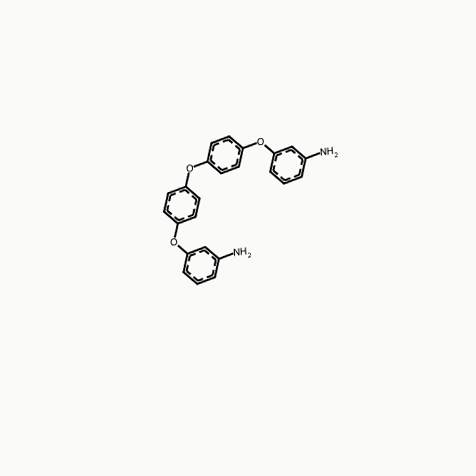 Nc1cccc(Oc2ccc(Oc3ccc(Oc4cccc(N)c4)cc3)cc2)c1